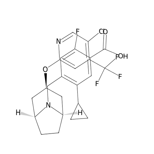 O=C(O)c1cc(C2CC2)c(CN2[C@@H]3CC[C@H]2C[C@@H](Oc2cc(C(F)(F)F)c(Cl)cn2)C3)cc1F